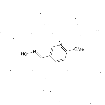 COc1ccc(C=NO)cn1